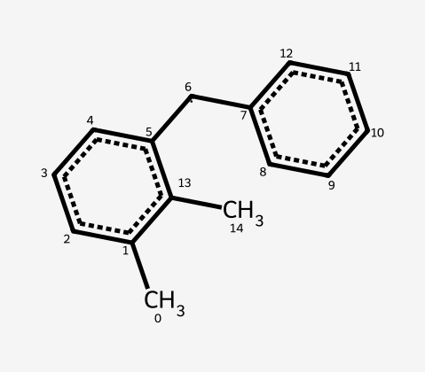 Cc1cccc([CH]c2ccccc2)c1C